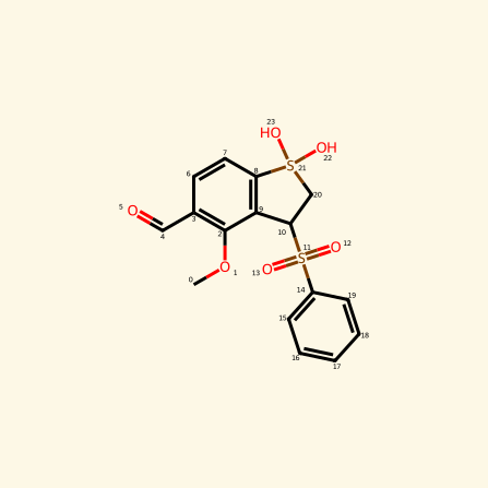 COc1c(C=O)ccc2c1C(S(=O)(=O)c1ccccc1)CS2(O)O